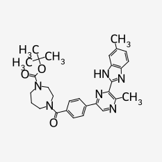 Cc1ccc2nc(-c3nc(-c4ccc(C(=O)N5CCCN(C(=O)OC(C)(C)C)CC5)cc4)cnc3C)[nH]c2c1